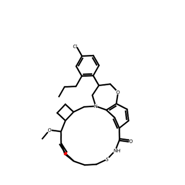 CCCc1cc(Cl)ccc1C1COc2ccc3cc2N(C1)CC1CCC1C(OC)C1=CC(CCSNC3=O)C1